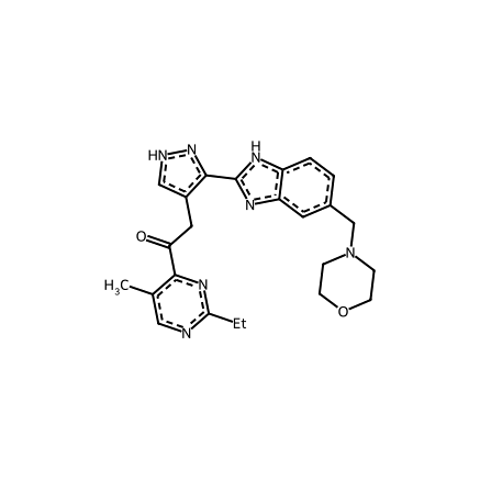 CCc1ncc(C)c(C(=O)Cc2c[nH]nc2-c2nc3cc(CN4CCOCC4)ccc3[nH]2)n1